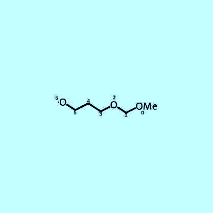 COCOCCC[O]